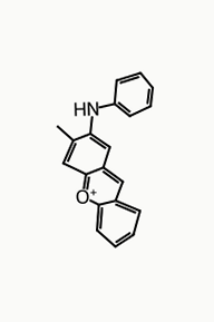 Cc1cc2[o+]c3ccccc3cc2cc1Nc1ccccc1